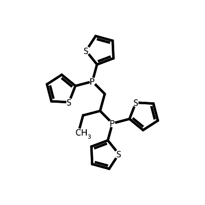 CCC(CP(c1cccs1)c1cccs1)P(c1cccs1)c1cccs1